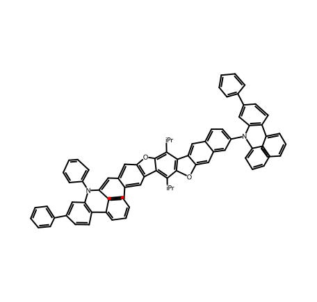 CC(C)c1c2oc3cc4cc(N(c5ccccc5)c5cc(-c6ccccc6)ccc5-c5ccccc5)ccc4cc3c2c(C(C)C)c2oc3cc4cc(N(c5ccccc5)c5cc(-c6ccccc6)ccc5-c5ccccc5)ccc4cc3c12